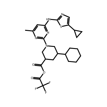 Cc1cc(Nc2ncc(C3CC3)s2)nc(N2CC(C(=O)OC(=O)C(F)(F)F)CC(C3CCCCC3)C2)n1